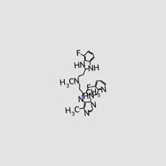 C/C(CCN(C)CCC1Nc2cccc(F)c2N1)=N\c1c(C)ncnc1NCc1ncccc1F